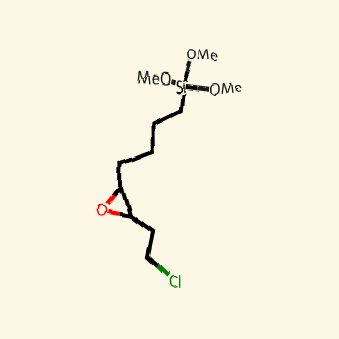 CO[Si](CCCCC1OC1CCCl)(OC)OC